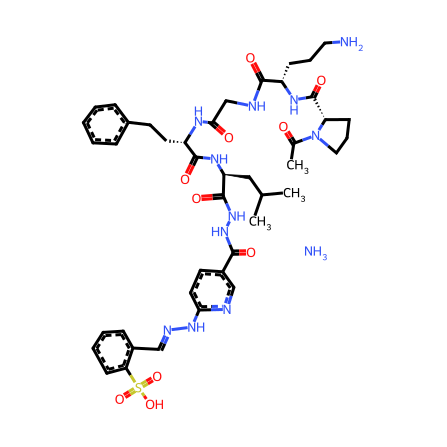 CC(=O)N1CCC[C@H]1C(=O)N[C@@H](CCCN)C(=O)NCC(=O)N[C@@H](CCc1ccccc1)C(=O)N[C@@H](CC(C)C)C(=O)NNC(=O)c1ccc(NN=Cc2ccccc2S(=O)(=O)O)nc1.N